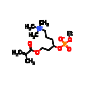 C=C(C)C(=O)OCCC(CCC[N+](C)(C)C)OP(=O)([O-])OCC